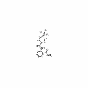 NC(=O)c1ccccc1NC(=O)c1ccc(C(F)(F)F)cc1